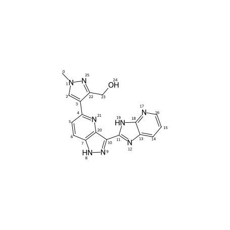 Cn1cc(-c2ccc3[nH]nc(-c4nc5cccnc5[nH]4)c3n2)c(CO)n1